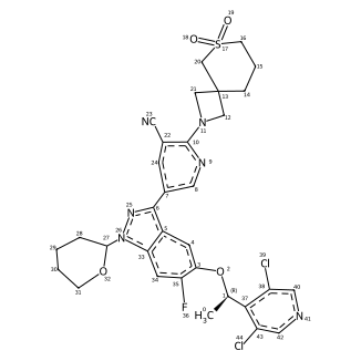 C[C@@H](Oc1cc2c(-c3cnc(N4CC5(CCCS(=O)(=O)C5)C4)c(C#N)c3)nn(C3CCCCO3)c2cc1F)c1c(Cl)cncc1Cl